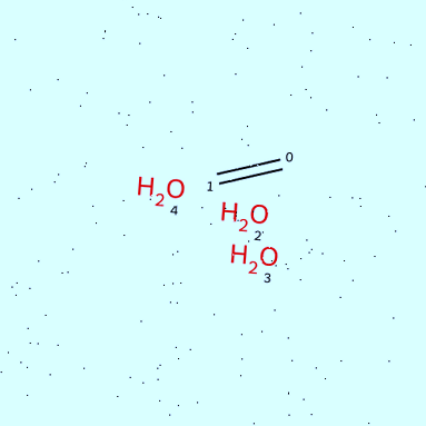 C=C.O.O.O